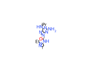 CCn1nc(C)cc1NC(=O)Cn1cnc2c(NC(C)C)nc(N)nc21